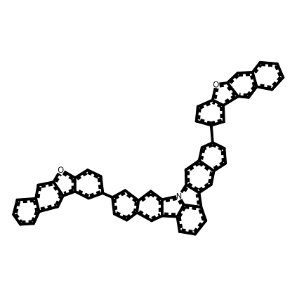 c1ccc2cc3c(cc2c1)oc1ccc(-c2ccc4cc5c6cccc7c8cc9ccc(-c%10ccc%11oc%12cc%13ccccc%13cc%12c%11c%10)cc9cc8n(c5cc4c2)c67)cc13